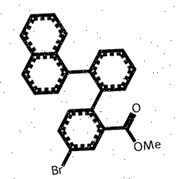 COC(=O)c1cc(Br)ccc1-c1ccccc1-c1cccc2ccccc12